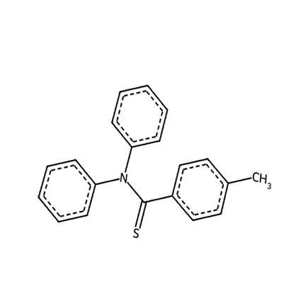 Cc1ccc(C(=S)N(c2ccccc2)c2ccccc2)cc1